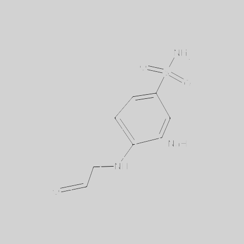 NS(=O)(=O)c1ccc(NC[C]=O)cc1.[NaH]